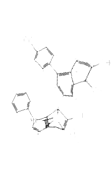 CC1=C2c3ccn(-c4ccccc4)c3C1[Si]2(C)C.CCCc1ccc(-c2cccc3c2C=C(C)[CH]3[Zr+2])cc1.[Cl-].[Cl-]